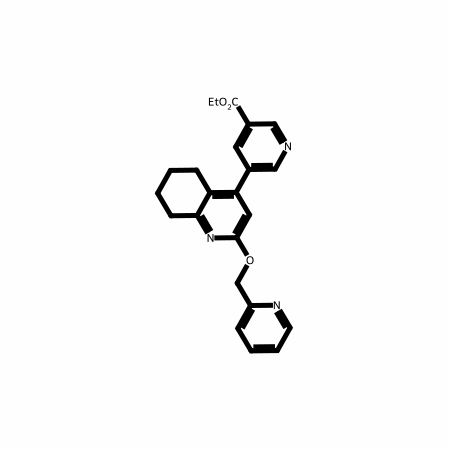 CCOC(=O)c1cncc(-c2cc(OCc3ccccn3)nc3c2CCCC3)c1